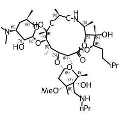 CCCNC[C@]1(O)[C@H](C)O[C@@H](O[C@H]2[C@H](C)[C@@H](O[C@@H]3O[C@H](C)C[C@H](N(C)C)[C@H]3O)[C@](C)(O)C[C@@H](C)CN[C@@H](C)[C@@H]([C@](C)(O)[C@H](O)CCC(C)C)OC(=O)[C@@H]2C)C[C@@]1(C)OC